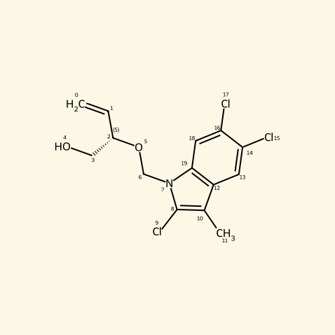 C=C[C@@H](CO)OCn1c(Cl)c(C)c2cc(Cl)c(Cl)cc21